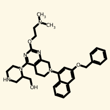 CN(C)CCOc1nc2c(c(N3CCNCC3CO)n1)CCN(c1cc(OCc3ccccc3)cc3ccccc13)C2